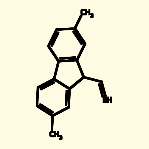 B=CC1c2cc(C)ccc2-c2ccc(C)cc21